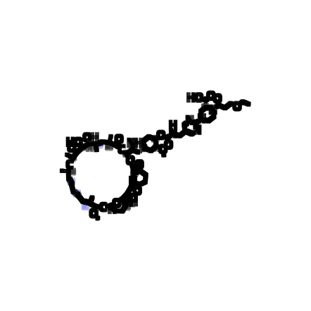 CCOCCC(=O)N1CCN(c2ncc(CNC(=O)O[C@@H]3CC[C@@H](C[C@@H](N)[C@@H]4CC(=O)[C@H](C)/C=C(\C)[C@@H](O)[C@@H](O)C(=O)[C@H](C)C[C@H](C)/C=C/C=C/C=C(\C)[C@@H](OC)C[C@@H]5CC[C@@H](C)[C@@](O)(O5)C(=O)C(=O)N5CCCC[C@H]5C(=O)O4)C[C@H]3OC)cn2)C[C@@H]1C(=O)O